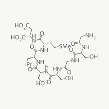 CSCC[C@H](NC(=O)[C@H](CC(C)C)NC(=O)[C@H](CO)NC(=O)[C@H](CO)NC(=O)[C@H](C)NC(=O)[C@H](CO)NC(=O)[C@H](C)N)C(=O)N[C@@H](CC(=O)O)C(=O)O